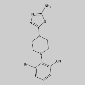 N#Cc1cccc(Br)c1N1CCC(c2nnc(N)s2)CC1